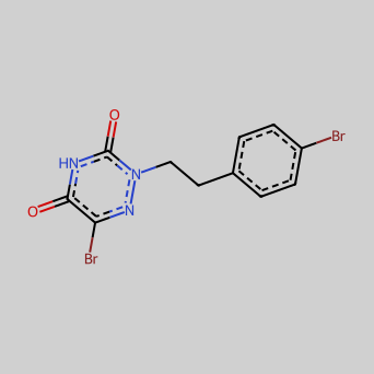 O=c1[nH]c(=O)n(CCc2ccc(Br)cc2)nc1Br